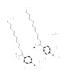 CCCCCCCCCCCC(c1ccc(C(C)(C)C)cc1)P(=O)([O-])[O-].CCCCCCCCCCCC(c1ccc(C(C)(C)C)cc1)P(=O)([O-])[O-].[Ca+2].[Ca+2]